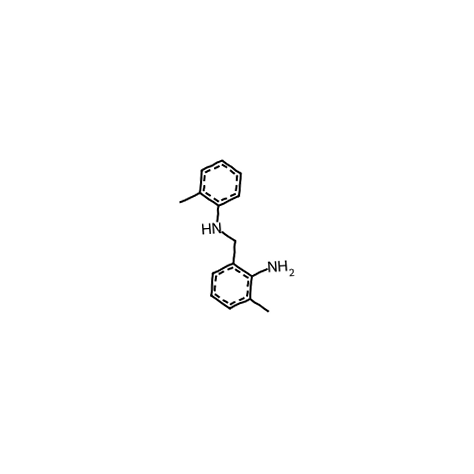 Cc1ccccc1NCc1cccc(C)c1N